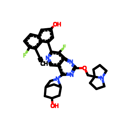 C#Cc1c(F)ccc2cc(O)cc(-c3ncc4c(N5CC6CC(O)CC5C6)nc(OCC56CCCN5CCC6)nc4c3F)c12